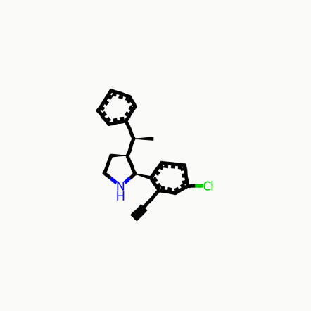 C#Cc1cc(Cl)ccc1[C@H]1NCC[C@H]1[C@H](C)c1ccccc1